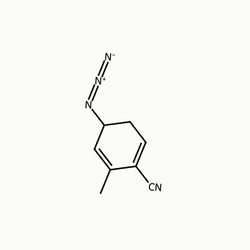 CC1=CC(N=[N+]=[N-])CC=C1C#N